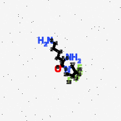 NCCCCC(N)C(=O)N1CC(F)(F)C(F)(F)C1